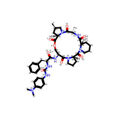 C[C@@H]1C[C@H]2C(=O)O[C@@H](C)[C@H](NC(=O)[C@H](Cc3ccccc3)NC(=O)Nc3ccc(N(C)C)cc3)C(=O)N3CCC[C@H]3C(=O)N3CCCC[C@H]3C(=O)N[C@@H](C)C(=O)N2C1